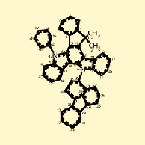 CC1(C)c2ccccc2-c2c1c1c3ccccc3n(-c3ccc4c5c(cccc35)-c3ccccc3-4)c1c1c3ccccc3n(-c3ccccc3)c21